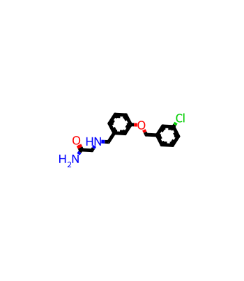 NC(=O)CNCc1cccc(OCc2cccc(Cl)c2)c1